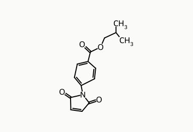 CC(C)COC(=O)c1ccc(N2C(=O)C=CC2=O)cc1